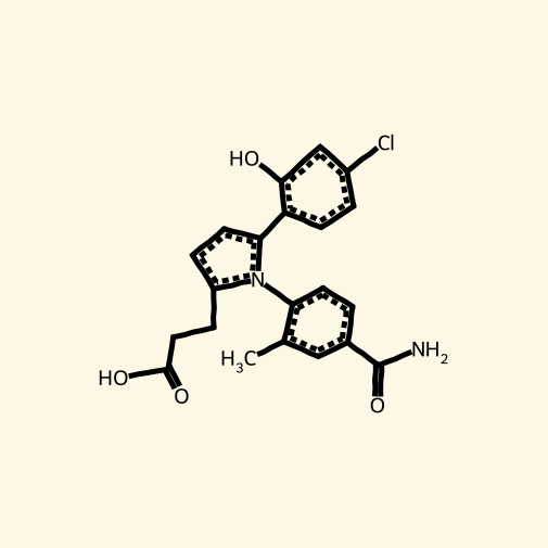 Cc1cc(C(N)=O)ccc1-n1c(CCC(=O)O)ccc1-c1ccc(Cl)cc1O